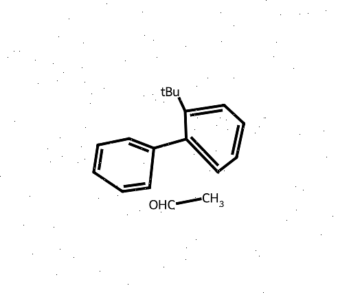 CC(C)(C)c1ccccc1-c1ccccc1.CC=O